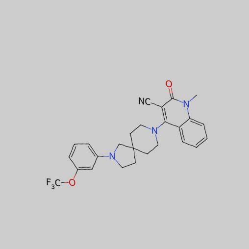 Cn1c(=O)c(C#N)c(N2CCC3(CCN(c4cccc(OC(F)(F)F)c4)C3)CC2)c2ccccc21